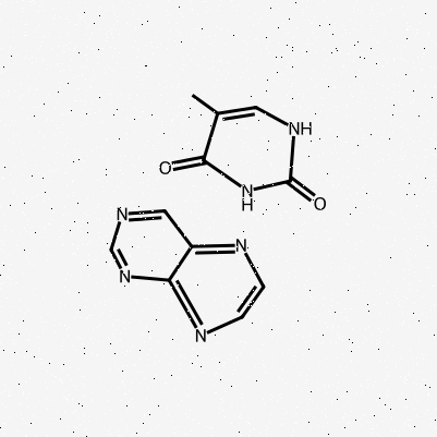 Cc1c[nH]c(=O)[nH]c1=O.c1cnc2ncncc2n1